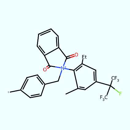 [CH]c1ccc(C[N+]2(c3c(C)cc(C(F)(C(F)(F)F)C(F)(F)F)cc3CC)C(=O)c3ccccc3C2=O)cc1